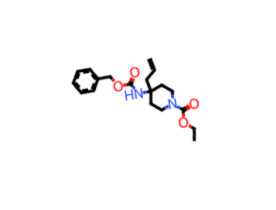 C=CCC1(NC(=O)OCc2ccccc2)CCN(C(=O)OCC)CC1